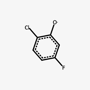 [O]c1cc(F)ccc1Cl